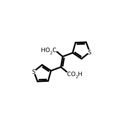 O=C(O)/C(=C(/C(=O)O)c1ccsc1)c1ccsc1